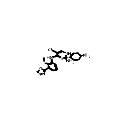 COc1c(NC2=NC(N)([C@H]3CC[C@H](N)CC3)NC=C2Cl)cccc1-c1nnco1